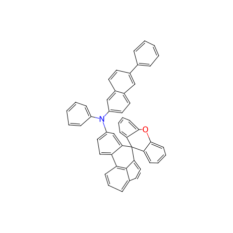 c1ccc(-c2ccc3cc(N(c4ccccc4)c4ccc5c(c4)C4(c6ccccc6Oc6ccccc64)c4cccc6cccc-5c46)ccc3c2)cc1